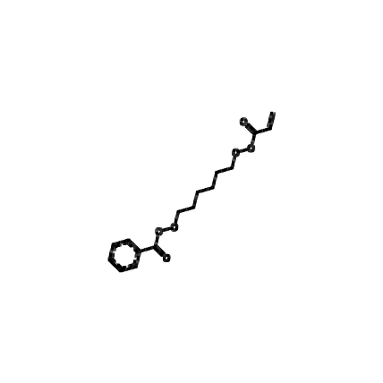 C=CC(=O)OOCCCCCCOOC(=O)c1ccccc1